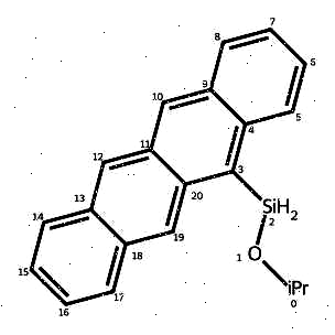 CC(C)O[SiH2]c1c2ccccc2cc2cc3ccccc3cc12